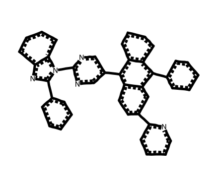 c1ccc(-c2c3ccccc3c(-c3cnc(-n4c(-c5ccccc5)nc5ccccc54)nc3)c3ccc(-c4ccccn4)cc23)cc1